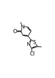 Cc1sc(-c2ccn(C)c(=O)c2)nc1Cl